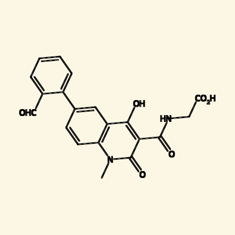 Cn1c(=O)c(C(=O)NCC(=O)O)c(O)c2cc(-c3ccccc3C=O)ccc21